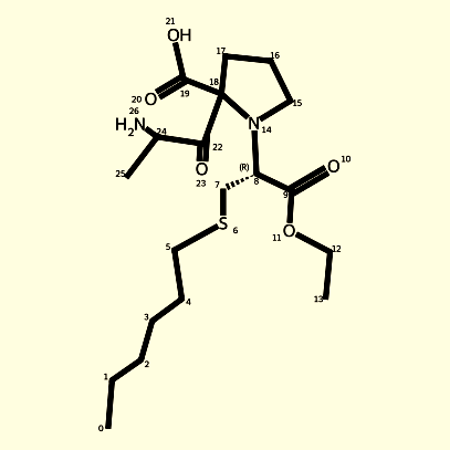 CCCCCCSC[C@@H](C(=O)OCC)N1CCCC1(C(=O)O)C(=O)C(C)N